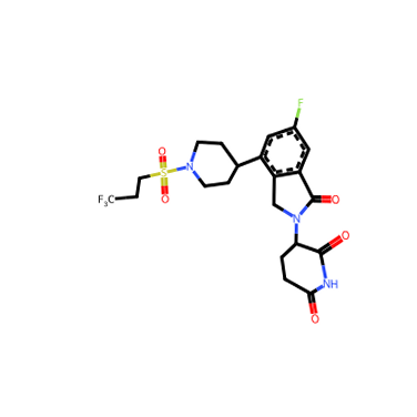 O=C1CCC(N2Cc3c(cc(F)cc3C3CCN(S(=O)(=O)CCC(F)(F)F)CC3)C2=O)C(=O)N1